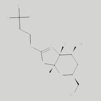 OC[C@H]1O[C@@H]2SC(NCCC(F)(F)F)=N[C@@H]2[C@@H](O)[C@@H]1O